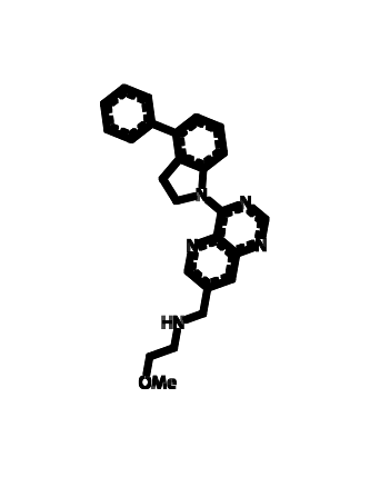 COCCNCc1cnc2c(N3CCc4c(-c5ccccc5)cccc43)ncnc2c1